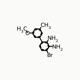 COc1cc(C)cc(-c2ccc(Br)c(N)c2N)c1